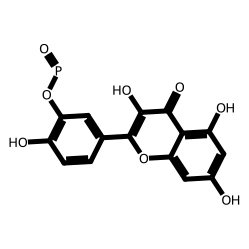 O=POc1cc(-c2oc3cc(O)cc(O)c3c(=O)c2O)ccc1O